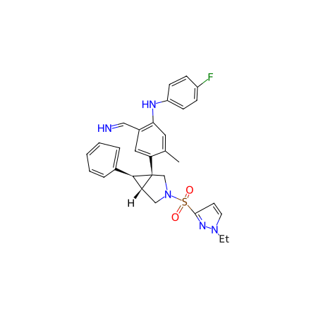 CCn1ccc(S(=O)(=O)N2C[C@@H]3[C@@H](c4ccccc4)[C@]3(c3cc(C=N)c(Nc4ccc(F)cc4)cc3C)C2)n1